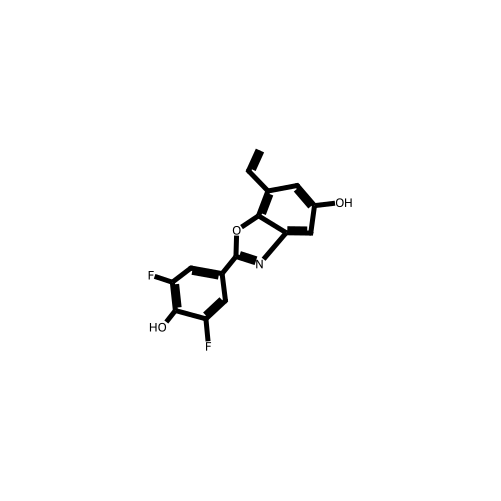 C=Cc1cc(O)cc2nc(-c3cc(F)c(O)c(F)c3)oc12